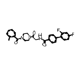 Cc1ccccc1C(=O)N1CCN(C(=O)CNC(=O)c2ccc(-c3ccc(F)cc3F)cc2)CC1